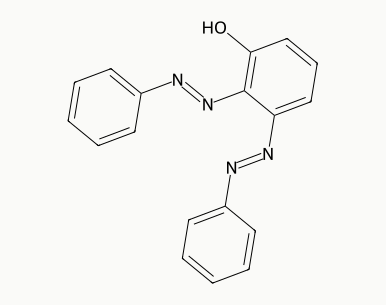 Oc1cccc(N=Nc2ccccc2)c1N=Nc1ccccc1